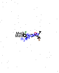 COc1cc2c(N)nc(N3CCN(C(=O)C[C@@H](NCC4CC4)c4ccsc4)CC3)nc2c(F)c1OC